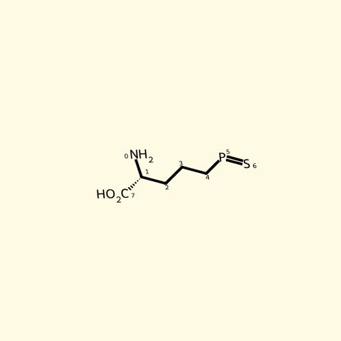 N[C@H](CCCP=S)C(=O)O